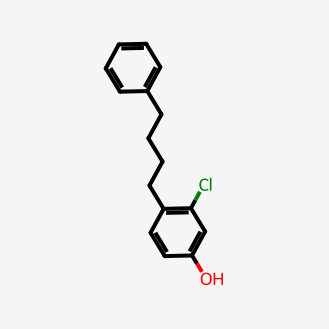 Oc1ccc(CCCCc2ccccc2)c(Cl)c1